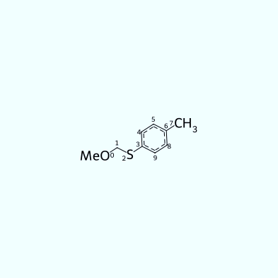 COCSc1ccc(C)cc1